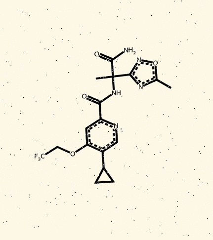 Cc1nc(C(C)(NC(=O)c2cc(OCC(F)(F)F)c(C3CC3)cn2)C(N)=O)no1